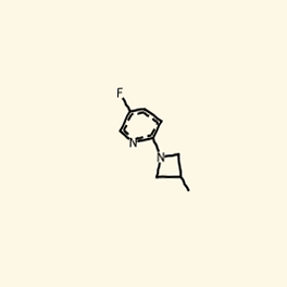 CC1CN(c2ccc(F)cn2)C1